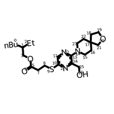 CCCCC(CC)COC(=O)CCSc1cnc(N2CCC3(CCOC3)CC2)c(CO)n1